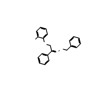 Cc1ccccc1OC/C(=N\OCc1ccccc1)c1ccccc1